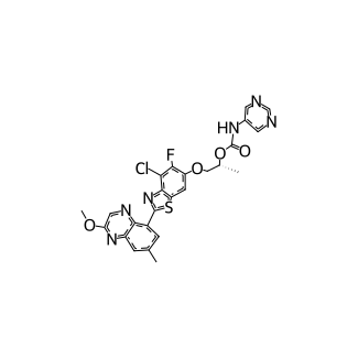 COc1cnc2c(-c3nc4c(Cl)c(F)c(OC[C@@H](C)OC(=O)Nc5cncnc5)cc4s3)cc(C)cc2n1